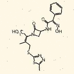 CC(CSc1nnc(C)s1)=C(C(=O)O)N1CC(NC(=O)C(=NO)c2ccccc2)C1=O